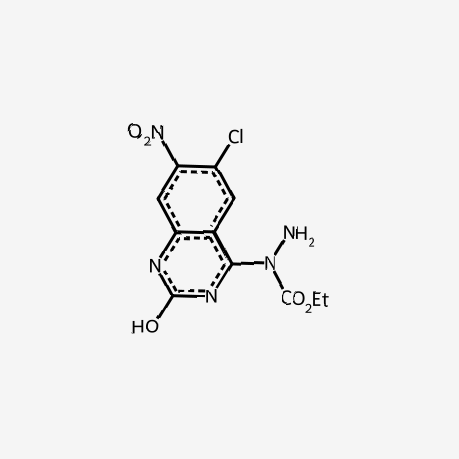 CCOC(=O)N(N)c1nc(O)nc2cc([N+](=O)[O-])c(Cl)cc12